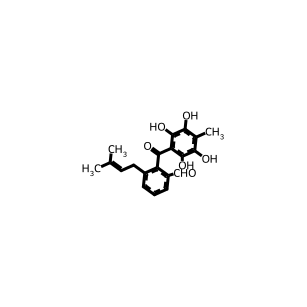 CC(C)=CCc1cccc(C=O)c1C(=O)c1c(O)c(O)c(C)c(O)c1O